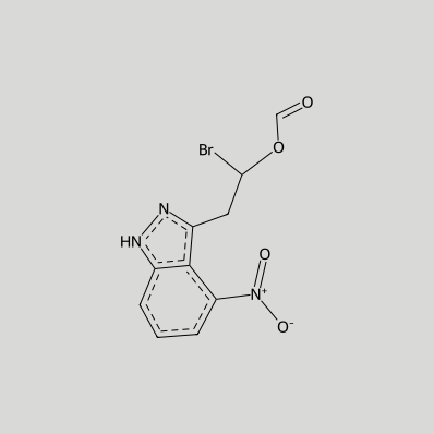 O=COC(Br)Cc1n[nH]c2cccc([N+](=O)[O-])c12